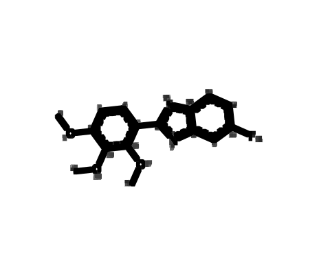 COc1ccc(-c2nc3cc(F)ccc3s2)c(OC)c1OC